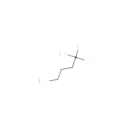 CCCC(CC)(CC)CCCS